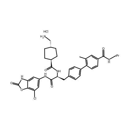 Cc1cc(C(=O)NC(C)C)ccc1-c1ccc(C[C@H](NC(=O)[C@H]2CC[C@H](CN)CC2)C(=O)Nc2cc(Cl)c3oc(=O)[nH]c3c2)cc1.Cl